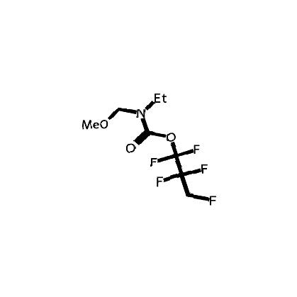 CCN(COC)C(=O)OC(F)(F)C(F)(F)CF